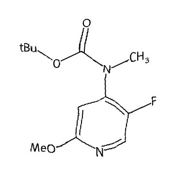 COc1cc(N(C)C(=O)OC(C)(C)C)c(F)cn1